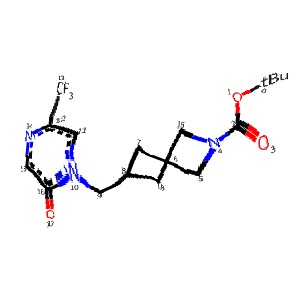 CC(C)(C)OC(=O)N1CC2(CC(Cn3cc(C(F)(F)F)ncc3=O)C2)C1